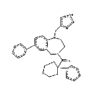 O=C(N1CCN(Cc2c[nH]cn2)c2ccc(-c3ccccc3)cc2C1)C1(c2ccccc2)CCOCC1